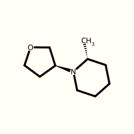 C[C@@H]1CCCCN1[C@H]1CCOC1